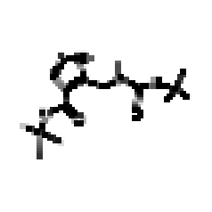 CC(C)(C)OC(=O)NCc1[nH]ncc1C(=O)OC(C)(C)C